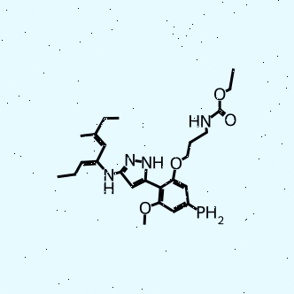 CC/C=C(/C=C(\C)CC)Nc1cc(-c2c(OC)cc(P)cc2OCCCNC(=O)OCC)[nH]n1